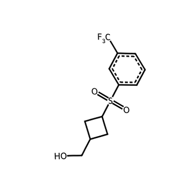 O=S(=O)(c1cccc(C(F)(F)F)c1)C1CC(CO)C1